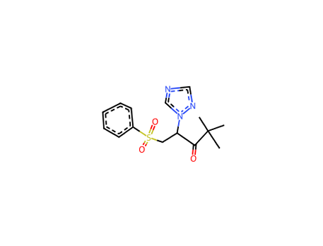 CC(C)(C)C(=O)C(CS(=O)(=O)c1ccccc1)n1cncn1